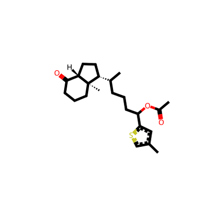 CC(=O)OC(CCCC(C)[C@H]1CC[C@H]2C(=O)CCC[C@]12C)c1cc(C)cs1